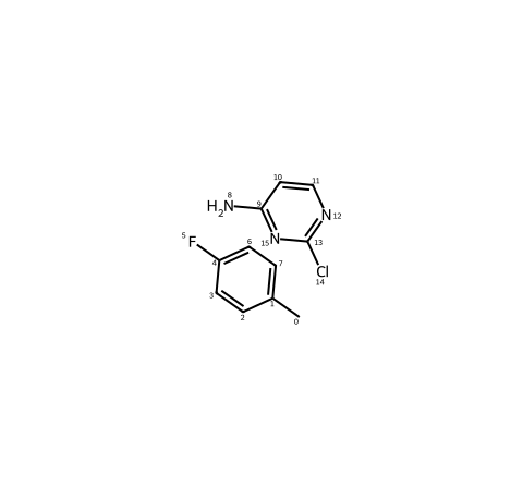 Cc1ccc(F)cc1.Nc1ccnc(Cl)n1